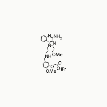 COCCc1nc2c(N)nc3ccccc3c2n1CCCNCc1ccc(OC)c(OCC(=O)OC(C)C)c1